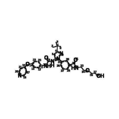 CC(C)(C)c1cc(NC(=O)Nc2ccc(Oc3ccncc3)cc2)n(-c2cccc(C(=O)NCCOCCO)c2)n1